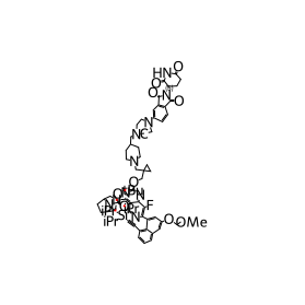 COCOc1cc(-c2ncc3c(N4CC5CCC(C4)N5C(=O)OC(C)(C)C)nc(OCC4(CN5CCC(CN6CCN(c7ccc8c(c7)C(=O)N([C@H]7CCC(=O)NC7=O)C8=O)CC6)CC5)CC4)nc3c2F)c2c(C#C[Si](C(C)C)(C(C)C)C(C)C)cccc2c1